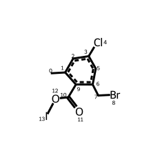 Cc1cc(Cl)cc(CBr)c1C(=O)OI